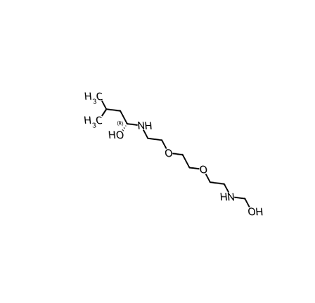 CC(C)C[C@@H](O)NCCOCCOCCNCO